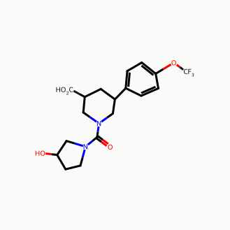 O=C(O)C1CC(c2ccc(OC(F)(F)F)cc2)CN(C(=O)N2CCC(O)C2)C1